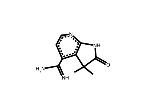 CC1(C)C(=O)Nc2nccc(C(=N)N)c21